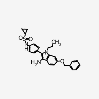 CCCn1c(-c2ccc(NS(=O)(=O)C3CC3)cc2)c(N)c2ccc(OCc3ccccc3)cc21